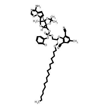 CCCCCCCCCCCCCCCCCCOC[C@H](COP(=O)(Oc1ccccc1Cl)OC1[C@H]2O[C@@](C)(c3ccc4c(N)ncnn34)[C@@H]3OC(C)(C)O[C@]123)Oc1c(C#N)cc(C)cc1C#N